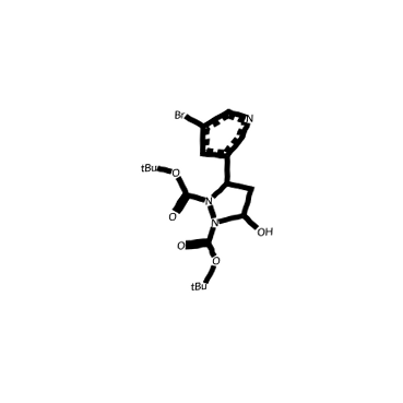 CC(C)(C)OC(=O)N1C(O)CC(c2cncc(Br)c2)N1C(=O)OC(C)(C)C